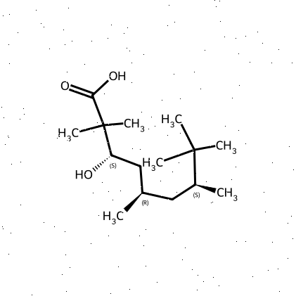 C[C@H](C[C@H](C)C(C)(C)C)C[C@H](O)C(C)(C)C(=O)O